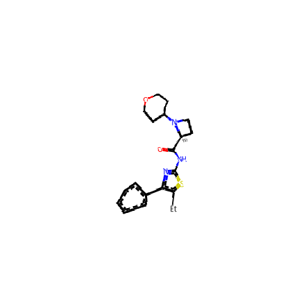 CCc1sc(NC(=O)[C@@H]2CCN2C2CCOCC2)nc1-c1ccccc1